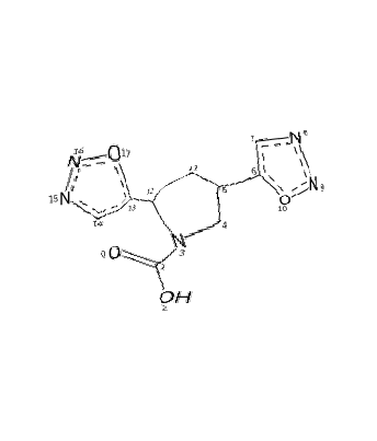 O=C(O)N1CC(c2cnno2)CC1c1cnno1